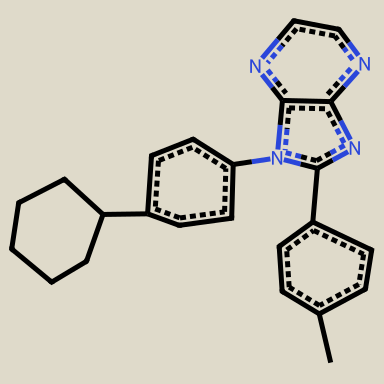 Cc1ccc(-c2nc3nccnc3n2-c2ccc(C3CCCCC3)cc2)cc1